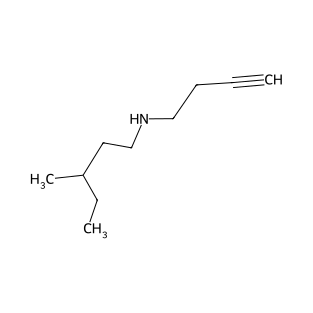 C#CCCNCCC(C)CC